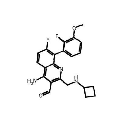 COc1cccc(-c2c(F)ccc3c(N)c(C=O)c(CNC4CCC4)nc23)c1F